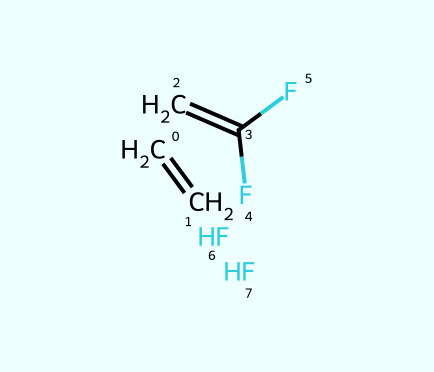 C=C.C=C(F)F.F.F